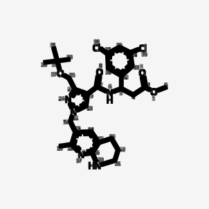 COC(=O)CC(NC(=O)c1cn(Cc2cc3c(nc2C)NCCC3)nc1COC(C)(C)C)c1cc(Cl)cc(Cl)c1